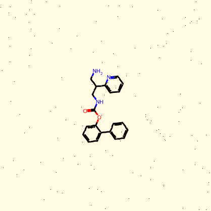 NCC(CNC(=O)Oc1ccccc1-c1ccccc1)c1ccccn1